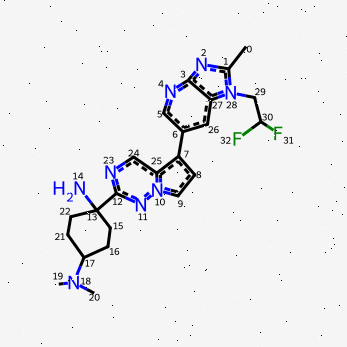 Cc1nc2ncc(-c3ccn4nc(C5(N)CCC(N(C)C)CC5)ncc34)cc2n1CC(F)F